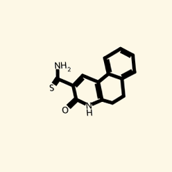 NC(=S)c1cc2c([nH]c1=O)CCc1ccccc1-2